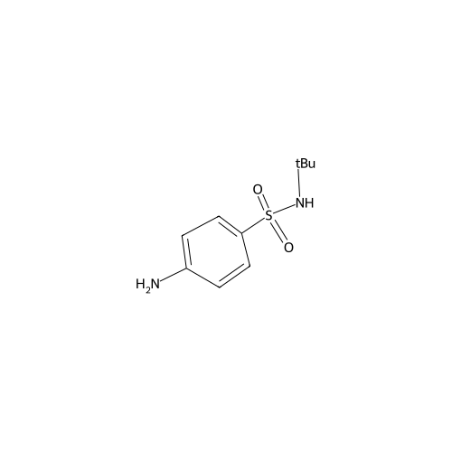 CC(C)(C)NS(=O)(=O)c1ccc(N)cc1